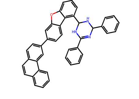 c1ccc(C2=NC(c3ccccc3)NC(c3cccc4oc5cc(-c6ccc7ccc8ccccc8c7c6)ccc5c34)N2)cc1